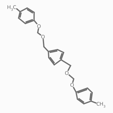 Cc1ccc(OCOCc2ccc(COCOc3ccc(C)cc3)cc2)cc1